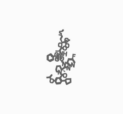 COC(=O)[C@H](CCSC)OC(=O)[C@H](C)N[P@@](=O)(OCn1c([C@]2(C)CCCCN2C(=O)c2cc(OC(C)C)ccc2C2CCCC2)nc2ncc(F)cc21)Oc1ccccc1